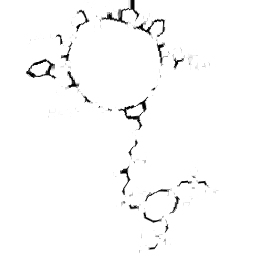 CCCCNC(=O)N[C@H]1CSCc2cc(CSCCNC(=O)CCP(=O)(O)CN3CCN(CP(=O)(O)CO)CCN(CP(=O)(O)CO)CC3)cc(c2)CSCC(C(=O)O)NC(=O)[C@H](Cc2ccccc2)NC(=O)[C@H](CCC(=O)O)NC(=O)[C@H]([C@@H](C)O)NC(=O)[C@@H]2CCCN2C(=O)[C@@H]2CCCN2C1=O